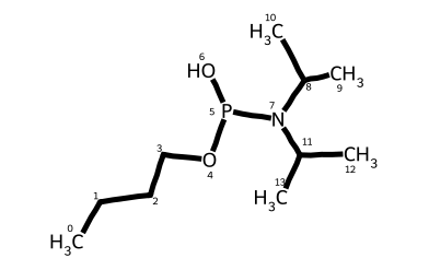 CCCCOP(O)N(C(C)C)C(C)C